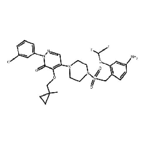 CC1(COc2c(N3CCN(S(=O)(=O)Cc4ccc(N)cc4OC(F)F)CC3)cnn(-c3cccc(Cl)c3)c2=O)CC1